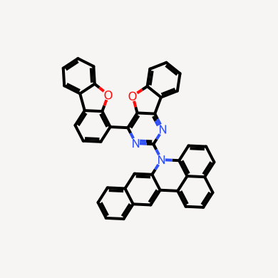 c1ccc2cc3c(cc2c1)-c1cccc2cccc(c12)N3c1nc(-c2cccc3c2oc2ccccc23)c2oc3ccccc3c2n1